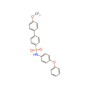 O=S(=O)(Nc1ccc(Oc2ccccc2)cc1)c1ccc(-c2ccc(OC(F)(F)F)cc2)cc1